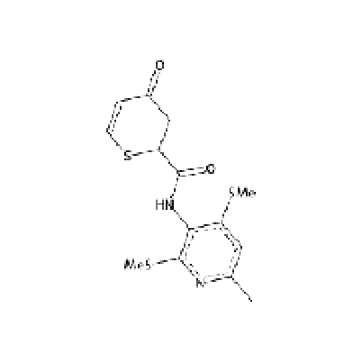 CSc1cc(C)nc(SC)c1NC(=O)C1CC(=O)C=CS1